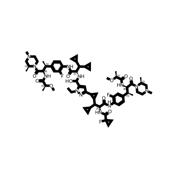 CCn1nc(C2CC2C(C2CC2)[C@H](NC(=O)C2(F)CC2)C(=O)Nc2ccc([C@H](C)[C@@H](NC(=O)[C@H](C)OC)C(=O)N3CCN(C)C[C@@H]3C)cc2F)cc1C(O)N[C@H](C(=O)Nc1ccc([C@H](C)[C@@H](NC(=O)[C@H](C)OC)C(=O)N2CCN(C)C[C@@H]2C)cc1F)C(C1CC1)C1CC1